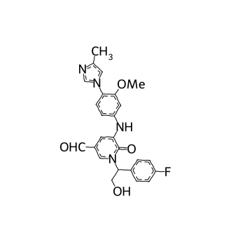 COc1cc(Nc2cc(C=O)cn(C(CO)c3ccc(F)cc3)c2=O)ccc1-n1cnc(C)c1